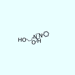 OCCC1CN2CCN(c3ccccc3)C[C@@H]2CO1